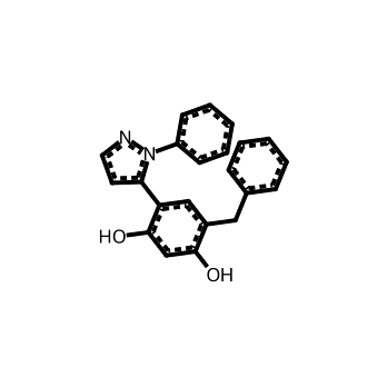 Oc1cc(O)c(-c2ccnn2-c2ccccc2)cc1Cc1ccccc1